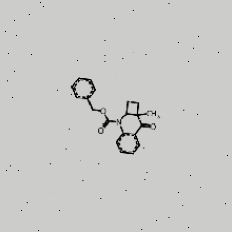 CC12CCC1N(C(=O)OCc1ccccc1)c1ccccc1C2=O